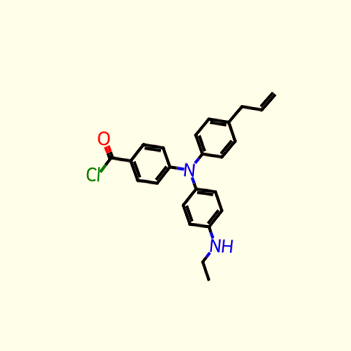 C=CCc1ccc(N(c2ccc(NCC)cc2)c2ccc(C(=O)Cl)cc2)cc1